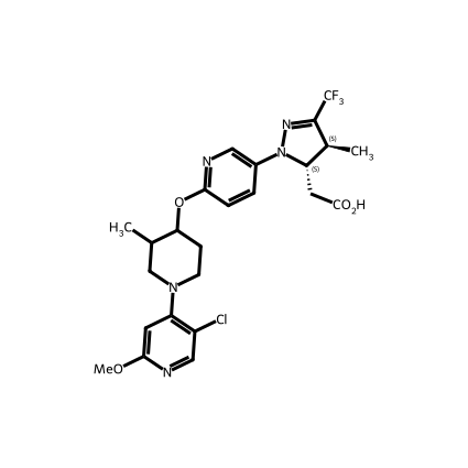 COc1cc(N2CCC(Oc3ccc(N4N=C(C(F)(F)F)[C@@H](C)[C@@H]4CC(=O)O)cn3)C(C)C2)c(Cl)cn1